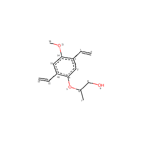 C=Cc1cc(OC(C)CO)c(C=C)cc1OC